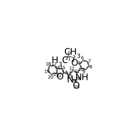 CC(C)COc1ccccc1-c1cc(-c2cc3ccccc3o2)nc(=O)[nH]1